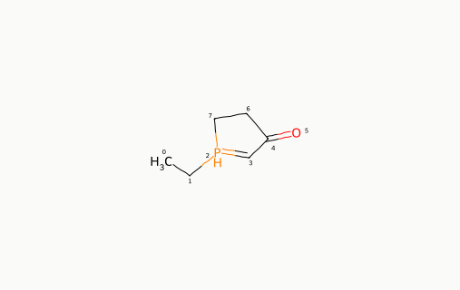 CC[PH]1=CC(=O)CC1